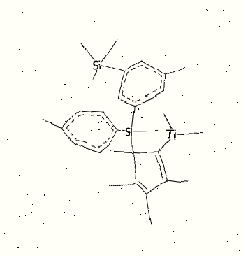 CC1=C(C)C(C)([Si](C)(c2ccc(C)cc2)c2cc(C)cc([Si](C)(C)C)c2)[C]([Ti]([CH3])[CH3])=C1C